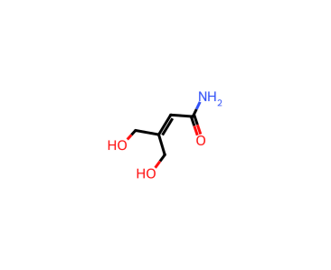 NC(=O)C=C(CO)CO